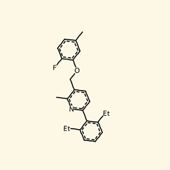 CCc1cccc(CC)c1-c1ccc(COc2cc(C)ccc2F)c(C)n1